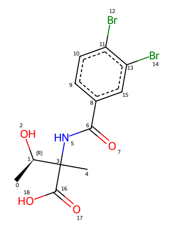 C[C@@H](O)C(C)(NC(=O)c1ccc(Br)c(Br)c1)C(=O)O